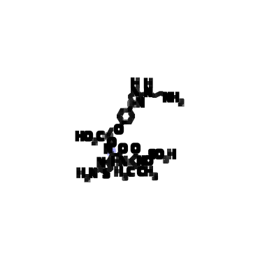 CC1(C)[C@H](NC(=O)/C(=N\O[C@@H](COc2ccc([C@H]3CNC(NCCN)=N3)cc2)C(=O)O)c2csc(N)n2)C(=O)N1OS(=O)(=O)O